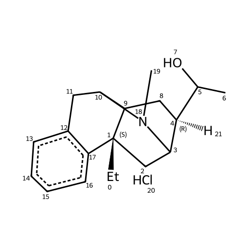 CC[C@]12CC3[C@H](C(C)O)CC1C(Cc1ccccc12)N3C.Cl